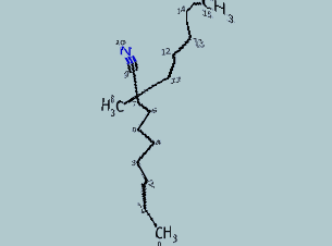 CCCCCCCC(C)(C#N)CCCCC